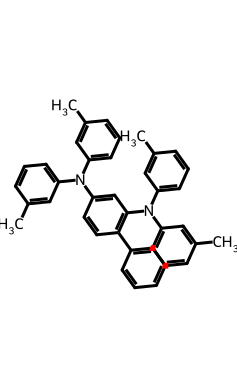 Cc1cccc(N(c2cccc(C)c2)c2ccc(-c3ccccc3)c(N(c3cccc(C)c3)c3cccc(C)c3)c2)c1